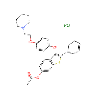 CC(=O)Oc1ccc2c(Oc3ccc(OCCN4CCCCC4)cc3)c(C3CC=CCC3)sc2c1.Cl